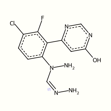 N/N=C\N(N)c1ccc(Cl)c(F)c1-c1cc(O)ncn1